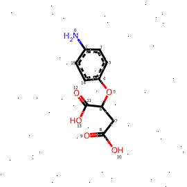 Nc1ccc(OC(CC(=O)O)C(=O)O)cc1